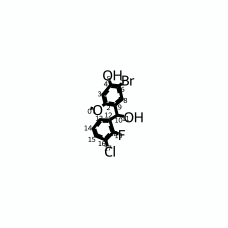 COc1cc(O)c(Br)cc1C(O)c1cccc(Cl)c1F